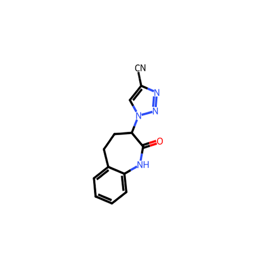 N#Cc1cn(C2CCc3ccccc3NC2=O)nn1